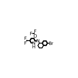 FC(F)Oc1cc(C(F)F)c[nH]/c1=N\C1CCCc2cc(Br)ccc21